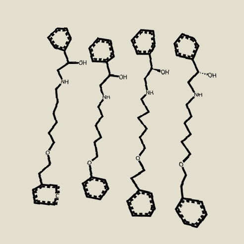 OC(CNCCCCCCOCCc1ccccc1)c1ccccc1.OC(CNCCCCCCOc1ccccc1)c1ccccc1.O[C@@H](CNCCCCCCOCCc1ccccc1)c1ccccc1.O[C@H](CNCCCCCCOCCc1ccccc1)c1ccccc1